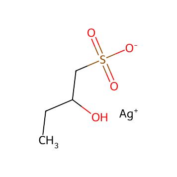 CCC(O)CS(=O)(=O)[O-].[Ag+]